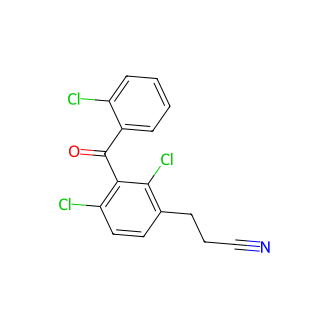 N#CCCc1ccc(Cl)c(C(=O)c2ccccc2Cl)c1Cl